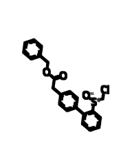 O=C(Cc1ccc(-c2ccccc2[S+]([O-])CCl)cc1)OCc1ccccc1